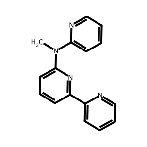 CN(c1ccccn1)c1cccc(-c2ccccn2)n1